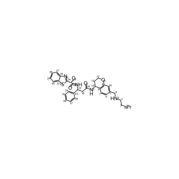 CC(C)CCNCc1ccc2c(c1)OCCC2NC(=O)CC(NS(=O)(=O)c1nc2ccccc2s1)c1ccccc1